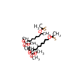 CO[Si](CCCCCCC(C)OC(C)=S)(OC)OC.CO[Si](CCCCCCCCOC(C)=S)(OC)OC